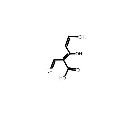 C=C/C(C(=O)O)=C(O)\C=C/C